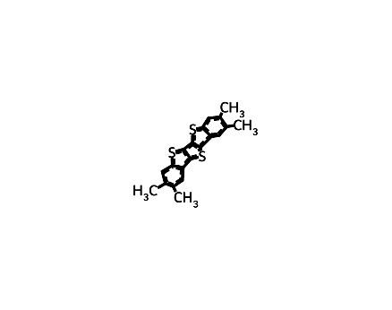 Cc1cc2sc3c(sc4c5cc(C)c(C)cc5sc43)c2cc1C